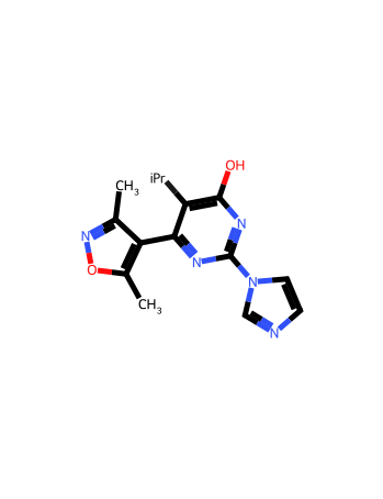 Cc1noc(C)c1-c1nc(-n2ccnc2)nc(O)c1C(C)C